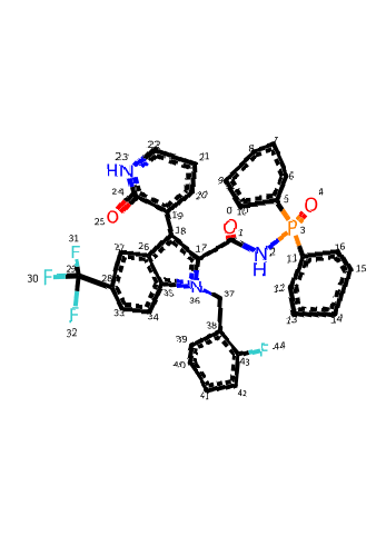 O=C(NP(=O)(c1ccccc1)c1ccccc1)c1c(-c2ccc[nH]c2=O)c2cc(C(F)(F)F)ccc2n1Cc1ccccc1F